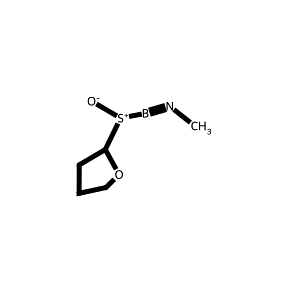 CN=B[S+]([O-])C1CCCO1